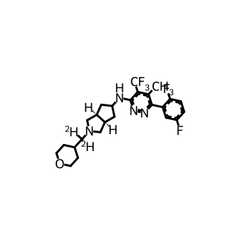 [2H]C([2H])(C1CCOCC1)N1C[C@H]2CC(Nc3nnc(-c4cc(F)ccc4F)c(C)c3C(F)(F)F)C[C@H]2C1